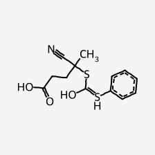 CC(C#N)(CCC(=O)O)SC(O)=[SH]c1ccccc1